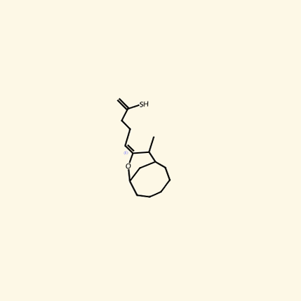 C=C(S)CC/C=C1/OC2CCCCCC(C2)C1C